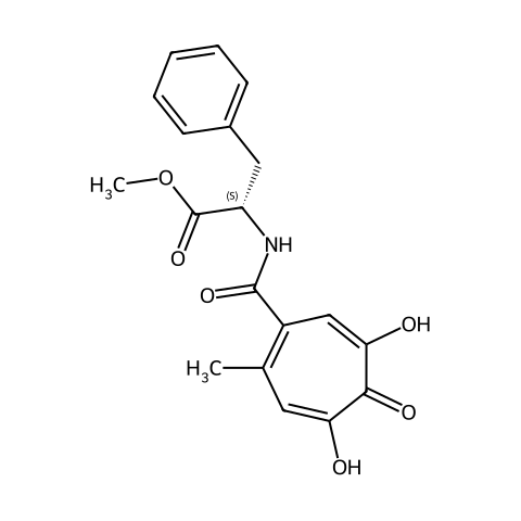 COC(=O)[C@H](Cc1ccccc1)NC(=O)c1cc(O)c(=O)c(O)cc1C